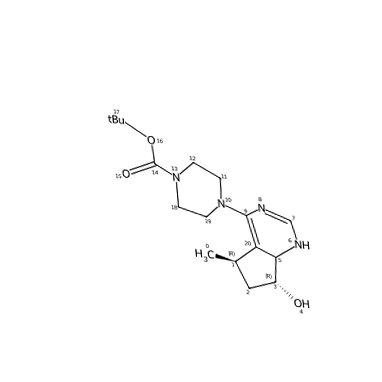 C[C@@H]1C[C@@H](O)C2NC=NC(N3CCN(C(=O)OC(C)(C)C)CC3)=C21